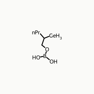 CCC[CH]([GeH3])COB(O)O